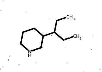 CCC(CC)C1[CH]NCCC1